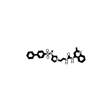 Cc1cc(NC(=O)NCCN2CCC(N(C)S(=O)(=O)c3ccc(-c4ccccc4)cc3)C2)c2ccccc2n1